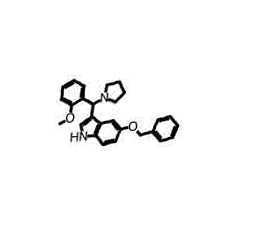 COc1ccccc1C(c1c[nH]c2ccc(OCc3ccccc3)cc12)N1CCCC1